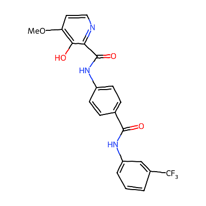 COc1ccnc(C(=O)Nc2ccc(C(=O)Nc3cccc(C(F)(F)F)c3)cc2)c1O